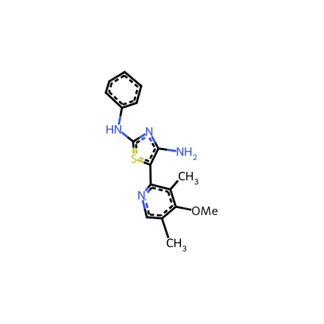 COc1c(C)cnc(-c2sc(Nc3ccccc3)nc2N)c1C